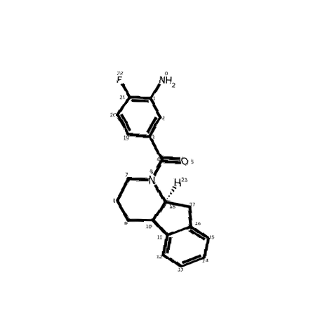 Nc1cc(C(=O)N2CCCC3c4ccccc4C[C@@H]32)ccc1F